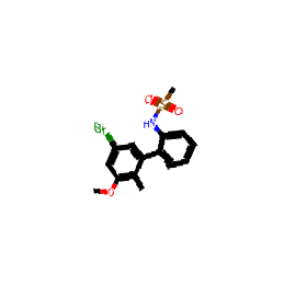 COc1cc(Br)cc(-c2ccccc2NS(C)(=O)=O)c1C